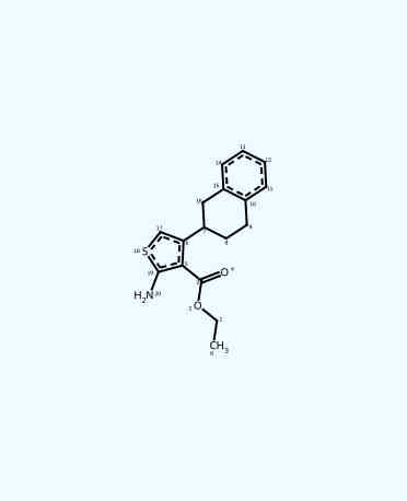 CCOC(=O)c1c(C2CCc3ccccc3C2)csc1N